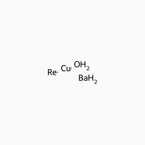 O.[BaH2].[Cu].[Re]